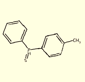 Cc1ccc([PH](=S)c2ccccc2)cc1